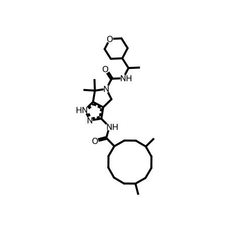 CC1CCCCC(C(=O)Nc2n[nH]c3c2CN(C(=O)NC(C)C2CCOCC2)C3(C)C)CCC(C)CCC1